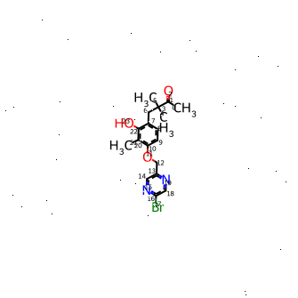 CC(=O)C(C)(C)Cc1ccc(OCc2cnc(Br)cn2)c(C)c1O